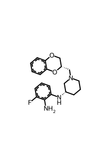 Nc1c(F)cccc1N[C@H]1CCCN(C[C@H]2COc3ccccc3O2)C1